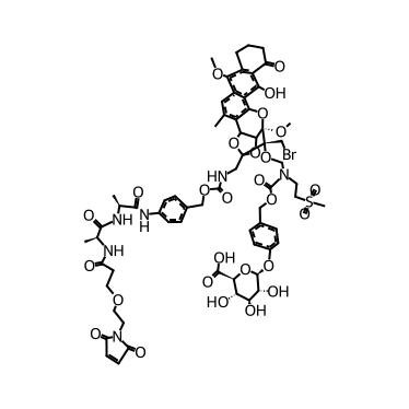 COc1c2c(c(O)c3c4c(c(C)cc13)C1OC3(CNC(=O)OCc5ccc(NC(=O)[C@H](C)NC(=O)[C@H](C)NC(=O)CCOCCN6C(=O)C=CC6=O)cc5)OC1[C@@](OC)(O4)[C@]3(CBr)OCN(CCS(C)(=O)=O)C(=O)OCc1ccc(O[C@@H]3O[C@H](C(=O)O)[C@@H](O)[C@H](O)[C@H]3O)cc1)C(=O)CCC2